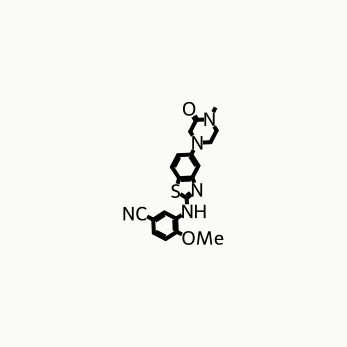 COc1ccc(C#N)cc1Nc1nc2cc(N3CCN(C)C(=O)C3)ccc2s1